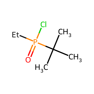 CCP(=O)(Cl)C(C)(C)C